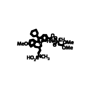 COc1ccc2c(c1)CC(CCN(C)C(=O)O)Cn1c-2c(C2CCCCC2)c2ccc(C(=O)NS(=O)(=O)N(C)CC(OC)OC)cc21